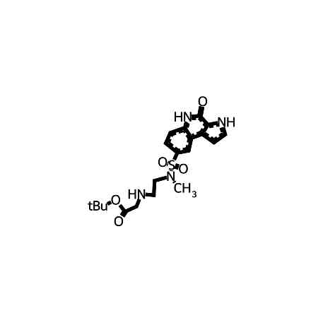 CN(CCNCC(=O)OC(C)(C)C)S(=O)(=O)c1ccc2[nH]c(=O)c3[nH]ccc3c2c1